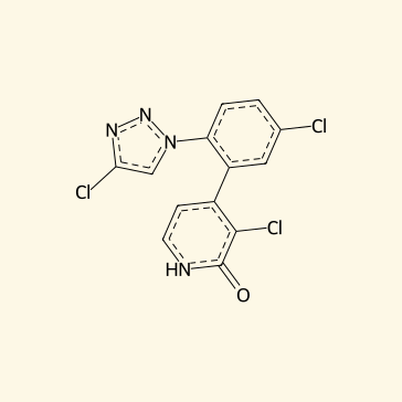 O=c1[nH]ccc(-c2cc(Cl)ccc2-n2cc(Cl)nn2)c1Cl